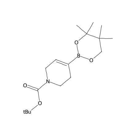 CC(C)(C)OC(=O)N1CC=C(B2OCC(C)(C)C(C)(C)O2)CC1